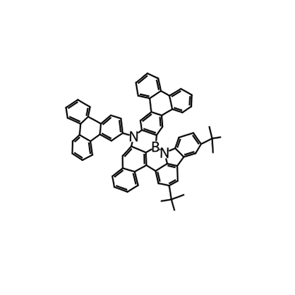 CC(C)(C)c1ccc2c(c1)c1cc(C(C)(C)C)cc3c1n2B1c2cc4c5ccccc5c5ccccc5c4cc2N(c2ccc4c5ccccc5c5ccccc5c4c2)c2cc4ccccc4c-3c21